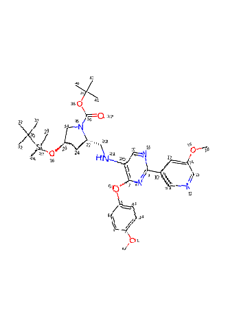 COc1ccc(Oc2nc(-c3cncc(OC)c3)ncc2NC[C@@H]2C[C@@H](O[Si](C)(C)C(C)(C)C)CN2C(=O)OC(C)(C)C)cc1